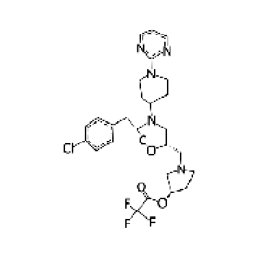 O=C(O[C@@H]1CCN(C[C@H]2CN(C3CCN(c4ncccn4)CC3)[C@@H](Cc3ccc(Cl)cc3)CO2)C1)C(F)(F)F